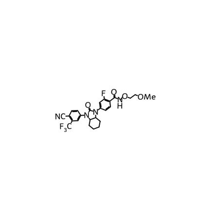 COCCONC(=O)c1ccc(N2C(=O)N(c3ccc(C#N)c(C(F)(F)F)c3)C3CCCCC32)cc1F